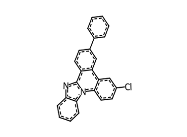 Clc1ccc2c(c1)c1cc(-c3ccccc3)ccc1c1nc3ccccc3n21